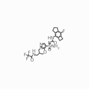 NS(=O)(=NC(=O)Nc1c2c(c(F)c3c1CC3)CCC2)c1cnn2c1OCC(CNC(=O)C(F)(F)F)C2